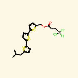 CC(C)Cc1ccc(-c2ccc(-c3ccc(COC(=O)CC[Si](Cl)(Cl)Cl)s3)s2)s1